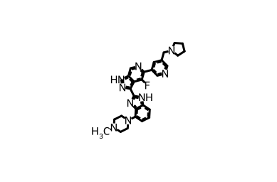 CN1CCN(c2cccc3[nH]c(-c4n[nH]c5cnc(-c6cncc(CN7CCCC7)c6)c(F)c45)nc23)CC1